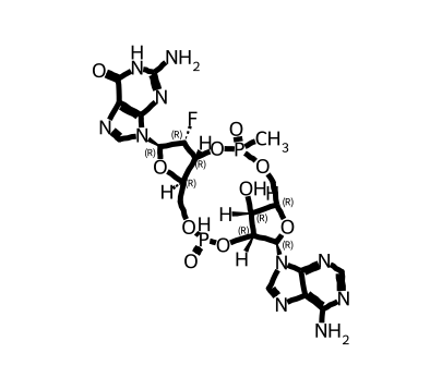 CP1(=O)OC[C@H]2O[C@@H](n3cnc4c(N)ncnc43)[C@H](O[PH](=O)OC[C@H]3O[C@@H](n4cnc5c(=O)[nH]c(N)nc54)[C@H](F)[C@@H]3O1)[C@@H]2O